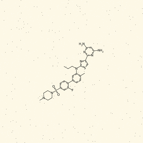 CCCN(c1nc(-c2nc(N)cc(N)n2)cs1)c1cc(-c2ccc(S(=O)(=O)N3CCN(C)CC3)cc2F)ccc1C